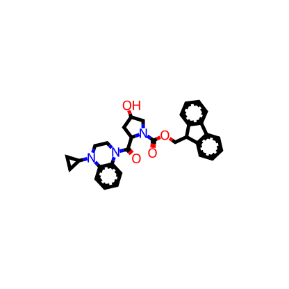 O=C(C1CC(O)CN1C(=O)OCC1c2ccccc2-c2ccccc21)N1CCN(C2CC2)c2ccccc21